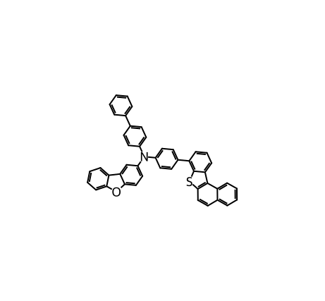 c1ccc(-c2ccc(N(c3ccc(-c4cccc5c4sc4ccc6ccccc6c45)cc3)c3ccc4oc5ccccc5c4c3)cc2)cc1